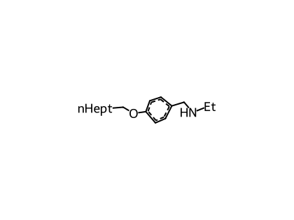 CCCCCCCCOc1ccc(CNCC)cc1